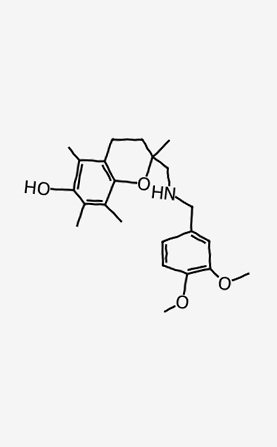 COc1ccc(CNCC2(C)CCc3c(C)c(O)c(C)c(C)c3O2)cc1OC